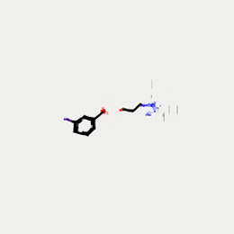 C[N+](C)(C)CCCOC(=O)c1cccc(I)c1